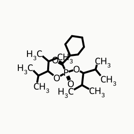 CC(C)C(OP(=O)(OC(C(C)C)C(C)C)C(=O)C1CCCCC1)C(C)C